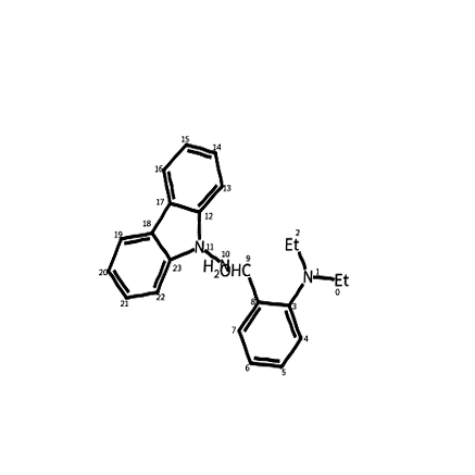 CCN(CC)c1ccccc1C=O.Nn1c2ccccc2c2ccccc21